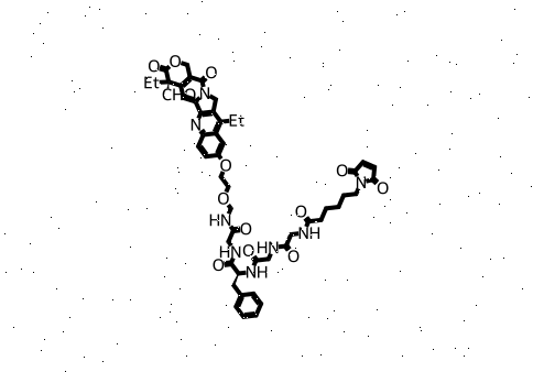 CCc1c2c(nc3ccc(OCCOCNC(=O)CNC(=O)[C@H](Cc4ccccc4)NC(=O)CNC(=O)CNC(=O)CCCCCN4C(=O)C=CC4=O)cc13)-c1cc3c(c(=O)n1C2)COC(=O)[C@]3(C=O)CC